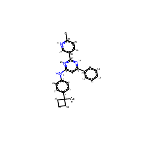 CC(=O)C1(c2ccc(Nc3cc(-c4ccccc4)nc(-c4ccc(C)nc4)n3)cc2)CCC1